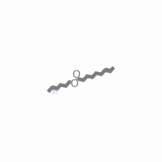 CC=CCCCCCC(=O)OCCC/C=C/C